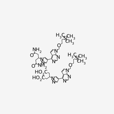 C[Si](C)(C)CCOCn1ccc2c(-c3cnn(C(CC(=O)O)CC(=O)O)c3)ncnc21.C[Si](C)(C)CCOCn1ccc2c(-c3cnn(C(CC(N)=O)CC(N)=O)c3)ncnc21